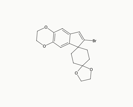 BrC1=Cc2cc3c(cc2C12CCC1(CC2)OCCO1)OCCO3